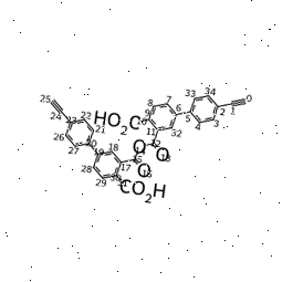 C#Cc1ccc(-c2ccc(C(=O)O)c(C(=O)OC(=O)c3cc(-c4ccc(C#C)cc4)ccc3C(=O)O)c2)cc1